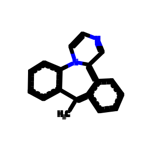 CC1=c2ccccc2=C2C=NC=CN2c2ccccc21